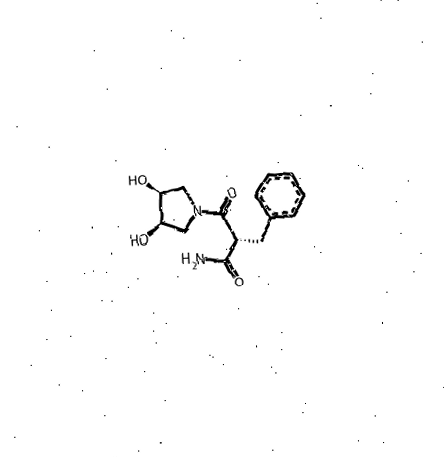 NC(=O)[C@@H](Cc1ccccc1)C(=O)N1C[C@@H](O)[C@@H](O)C1